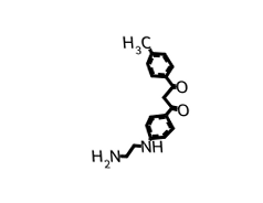 Cc1ccc(C(=O)CC(=O)c2ccc(NCCN)cc2)cc1